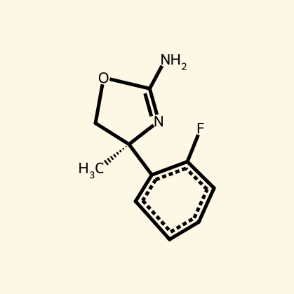 C[C@]1(c2ccccc2F)COC(N)=N1